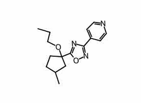 CCCOC1(c2nc(-c3ccncc3)no2)CCC(C)C1